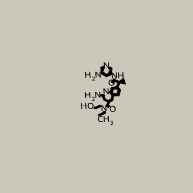 CCCN(CCO)C(=O)C1=Cc2ccc(C3(C(=O)Nc4cncc(N)c4)CC3)cc2N=C(N)C1